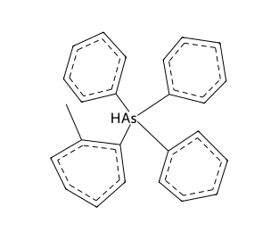 Cc1ccccc1[AsH](c1ccccc1)(c1ccccc1)c1ccccc1